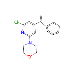 C=C(c1ccccc1)c1cc(Cl)nc(N2CCOCC2)c1